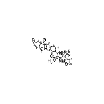 COc1ccc(F)cc1C(=O)NCc1ccc(C2NN(C(C3CCOC3)C(F)(F)F)C(N)=C2C(N)=O)cc1